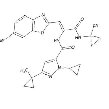 CC1(c2cc(C(=O)NC(=Cc3nc4ccc(Br)cc4o3)C(=O)NC3(C#N)CC3)n(C3CC3)n2)CC1